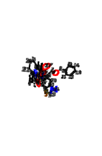 C=C[C@H]1CN([C@@H](C)COCc2ccccc2)C(=O)[C@@H]2CCC[C@H]1N2S(=O)(=O)c1ccc2ncsc2c1